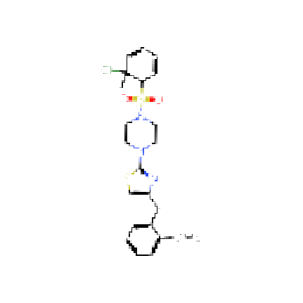 COc1ccccc1Cc1csc(N2CCN(S(=O)(=O)C3C=CC=CC3(C)Cl)CC2)n1